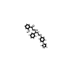 COc1ccccc1C(=O)CNC(CCOc1ccc(-n2ccnc2)cc1)c1ccccc1